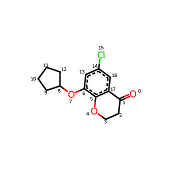 O=C1CCOc2c(OC3CCCC3)cc(Cl)cc21